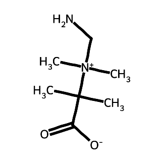 CC(C)(C(=O)[O-])[N+](C)(C)CN